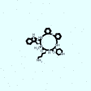 CN1C(=O)[C@H](CCCCN)NC(=O)[C@H](C2CCNCC2)NCc2ccccc2Sc2ccccc2CNC(=O)[C@@H]1Cc1c[nH]c2ccccc12